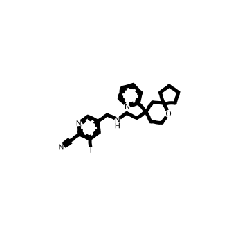 N#Cc1ncc(CNCCC2(c3ccccn3)CCOC3(CCCC3)C2)cc1I